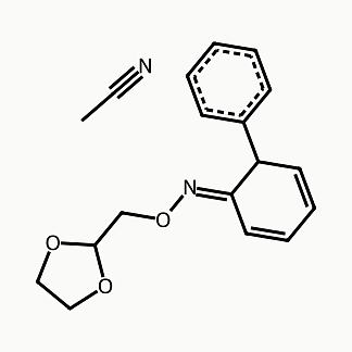 C1=CC(=NOCC2OCCO2)C(c2ccccc2)C=C1.CC#N